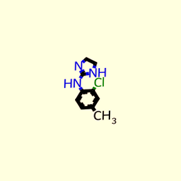 Cc1ccc(NC2=NCCN2)c(Cl)c1